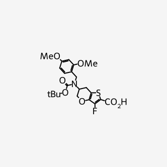 COc1ccc(CN(C(=O)OC(C)(C)C)C2COc3c(sc(C(=O)O)c3F)C2)c(OC)c1